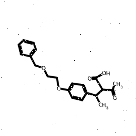 CC(=O)C(C(=O)O)C(C)c1ccc(OCCOCc2ccccc2)cc1